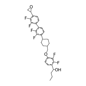 CCCC(O)c1ccc(OCC2CCC(c3ccc(-c4ccc(C5CO5)c(F)c4F)c(F)c3F)CC2)c(F)c1F